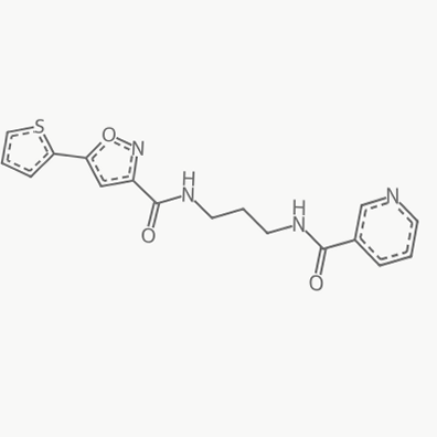 O=C(NCCCNC(=O)c1cc(-c2cccs2)on1)c1cccnc1